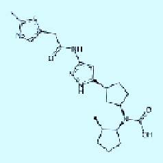 Cc1ncc(CC(=O)Nc2cc([C@H]3CC[C@@H](N(C(=O)O)[C@H]4CCC[C@H]4C)C3)[nH]n2)s1